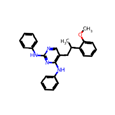 COc1ccccc1C(C)Cc1cnc(Nc2ccccc2)nc1Nc1ccccc1